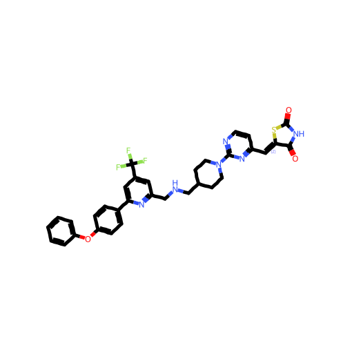 O=C1NC(=O)/C(=C/c2ccnc(N3CCC(CNCc4cc(C(F)(F)F)cc(-c5ccc(Oc6ccccc6)cc5)n4)CC3)n2)S1